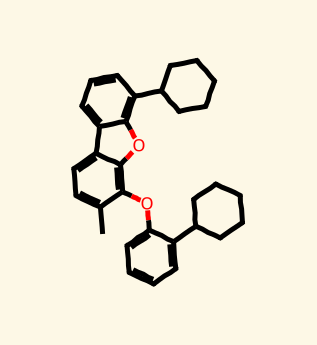 Cc1ccc2c(oc3c(C4CCCCC4)cccc32)c1Oc1ccccc1C1CCCCC1